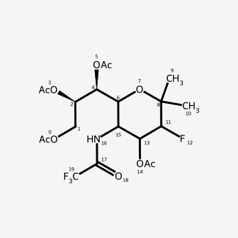 CC(=O)OC[C@@H](OC(C)=O)[C@@H](OC(C)=O)C1OC(C)(C)C(F)C(OC(C)=O)C1NC(=O)C(F)(F)F